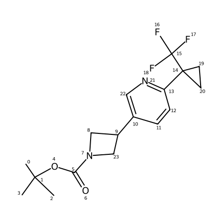 CC(C)(C)OC(=O)N1CC(c2ccc(C3(C(F)(F)F)CC3)nc2)C1